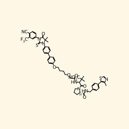 Cc1ncsc1-c1ccc(CNC(=O)[C@@H]2CCCN2C(=O)C(NC(=O)COCCCCOc2ccc(-c3ccc(N4C(=S)N(c5ccc(C#N)c(C(F)(F)F)c5)C(=O)C4(C)C)cc3)cc2)C(C)(C)C(=O)O)cc1